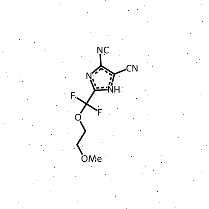 [C-]#[N+]c1nc(C(F)(F)OCCOC)[nH]c1C#N